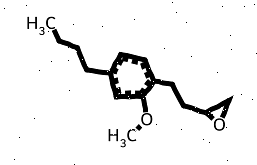 CCCCc1ccc(CCC2CO2)c(OC)c1